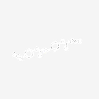 CCCCCC(=O)Oc1ccc(/C=C/C(=O)Oc2ccc(N=C=S)cc2)cc1